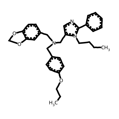 CCCCn1c(CN(Cc2ccc(OCCC)cc2)Cc2ccc3c(c2)OCO3)cnc1-c1ccccc1